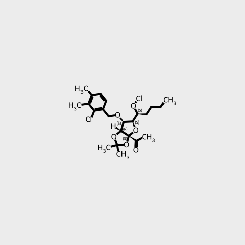 CCCC[C@H](OCl)[C@H]1O[C@]2(C(C)=O)OC(C)(C)O[C@@H]2[C@H]1OCc1ccc(C)c(C)c1Cl